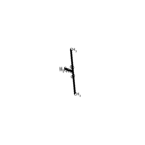 CCCCCCCCCCCCCCCCCCCCCC(=O)OCCCCC(CCCCOC(=O)CCCCCCCCCCCCCCCCCCCCC)OC(=O)NCCOCCN(C)C